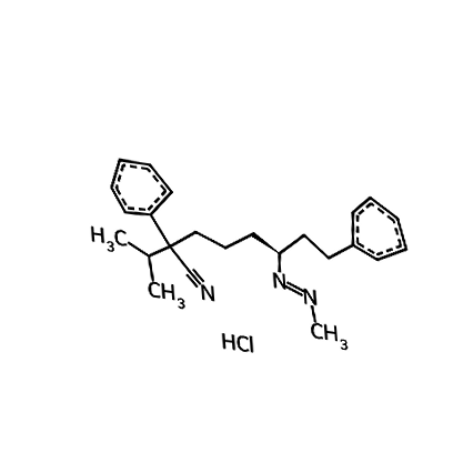 CN=N[C@@H](CCCC(C#N)(c1ccccc1)C(C)C)CCc1ccccc1.Cl